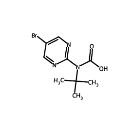 CC(C)(C)N(C(=O)O)c1ncc(Br)cn1